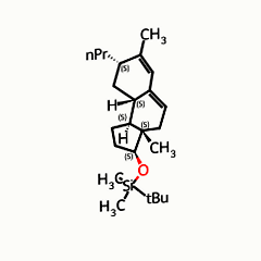 CCC[C@H]1C[C@@H]2C(=CC[C@]3(C)[C@@H](O[Si](C)(C)C(C)(C)C)CC[C@@H]23)C=C1C